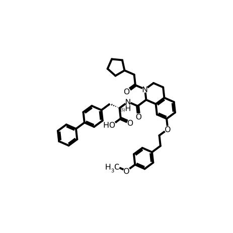 COc1ccc(CCOc2ccc3c(c2)C(C(=O)N[C@@H](Cc2ccc(-c4ccccc4)cc2)C(=O)O)N(C(=O)CC2CCCC2)CC3)cc1